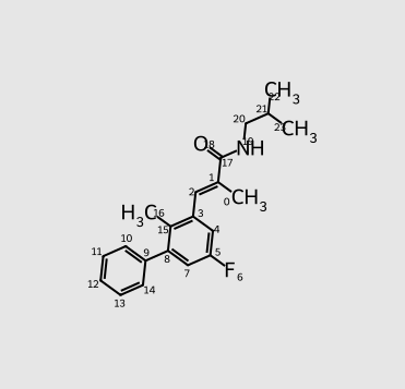 C/C(=C\c1cc(F)cc(-c2ccccc2)c1C)C(=O)NCC(C)C